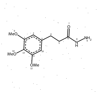 COc1cc(CCC(=O)NN)cc(OC)c1OC